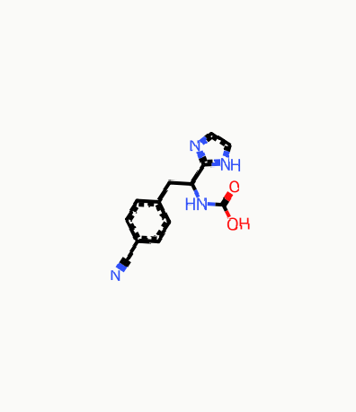 N#Cc1ccc(CC(NC(=O)O)c2ncc[nH]2)cc1